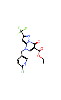 CCOC(=O)c1cn(Cc2ccc(Cl)nc2)c2cc(C(F)(F)F)nn2c1=O